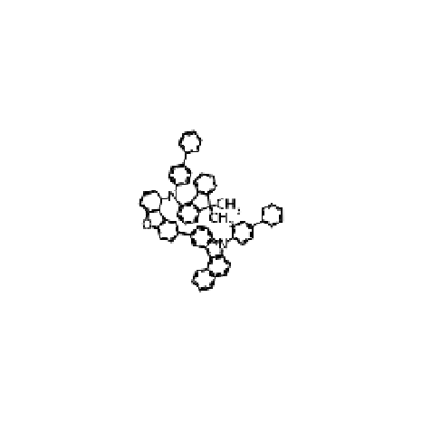 CC1(C)c2ccccc2-c2c(N(c3ccc(-c4ccccc4)cc3)C3C=CC=C4Oc5ccc(-c6ccc7c(c6)c6c8ccccc8ccc6n7-c6ccc(-c7ccccc7)cc6)cc5C43)cccc21